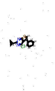 Clc1nc(C2CC2)nc2scc(-c3ccccc3)c12